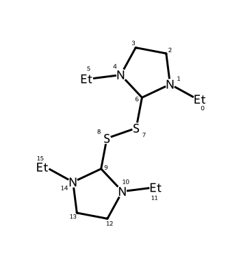 CCN1CCN(CC)C1SSC1N(CC)CCN1CC